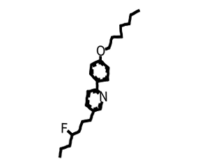 CCCCCCCOc1ccc(-c2ccc(CCCC(F)CCC)cn2)cc1